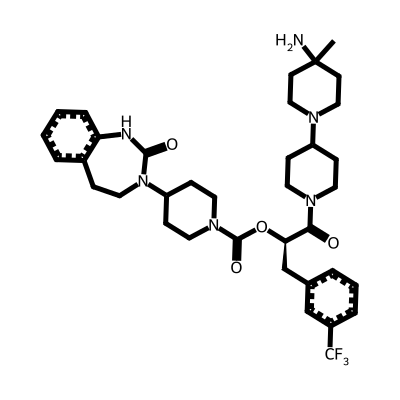 CC1(N)CCN(C2CCN(C(=O)[C@@H](Cc3cccc(C(F)(F)F)c3)OC(=O)N3CCC(N4CCc5ccccc5NC4=O)CC3)CC2)CC1